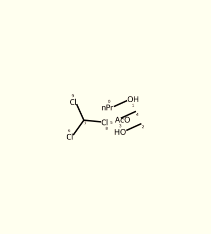 CCCO.CO.COC(C)=O.ClC(Cl)Cl